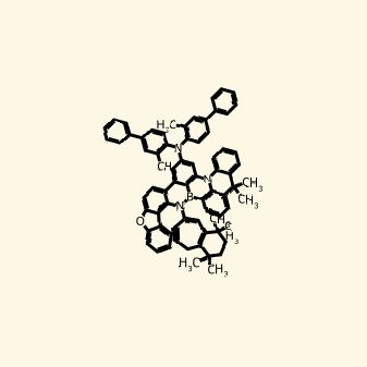 Cc1cc(-c2ccccc2)ccc1N(c1cc2c3c(c1)N1c4ccccc4C(C)(C)c4cccc(c41)B3N(C1=CC3=C(CC#C1)C(C)(C)CCC3(C)C)c1c-2ccc2oc3ccccc3c12)c1ccc(-c2ccccc2)cc1C